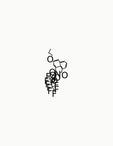 CCCOc1cc2c3c(cccc3c1)C(=O)N(OS(=O)(=O)C(F)(F)C(F)(F)C(F)(F)C(F)(F)F)C2=O